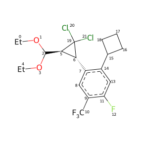 CCOC(OCC)[C@@H]1[C@@H](c2cc(C(F)(F)F)c(F)cc2C2CCC2)C1(Cl)Cl